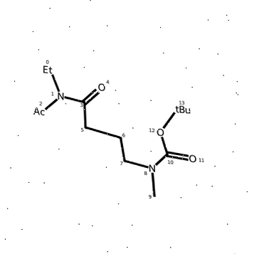 CCN(C(C)=O)C(=O)CCCN(C)C(=O)OC(C)(C)C